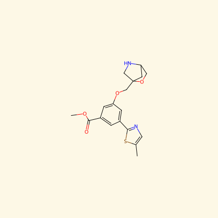 COC(=O)c1cc(OCC23CNC(CO2)C3)cc(-c2ncc(C)s2)c1